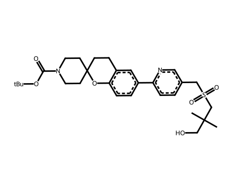 CC(C)(CO)CS(=O)(=O)Cc1ccc(-c2ccc3c(c2)CCC2(CCN(C(=O)OC(C)(C)C)CC2)O3)nc1